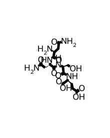 NC(=O)C[C@H](NC(=O)[C@@H](N)CC(N)=O)C(=O)N[C@@H](CO)C(=O)N[C@@H](CCC(=O)O)C(=O)O